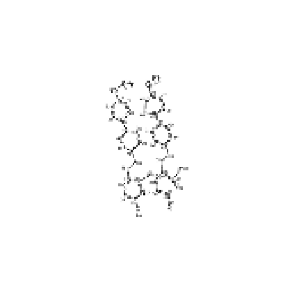 CCCOc1ccc(-c2ccc(CCc3ccc(F)nc3F)cc2)cc1.CCOc1ccc(-c2ccc(CCc3ccc(F)nc3F)cc2)cc1